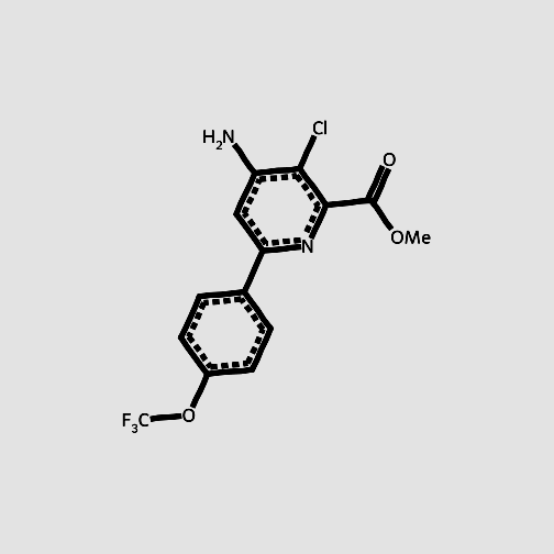 COC(=O)c1nc(-c2ccc(OC(F)(F)F)cc2)cc(N)c1Cl